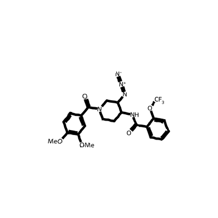 COc1ccc(C(=O)N2CCC(NC(=O)c3ccccc3OC(F)(F)F)C(N=[N+]=[N-])C2)cc1OC